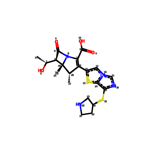 C[C@@H](O)[C@H]1C(=O)N2C(C(=O)O)=C(c3cn4cnc(S[C@H]5CCNC5)c4s3)[C@H](C)[C@H]12